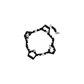 C1=Cc2cc3ccc(cc4nc(cc5ccc(cc1n2)[nH]5)C=C4)[nH]3.N=C=O